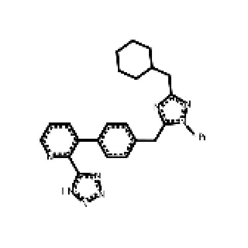 CCCn1nc(CC2CCCCC2)nc1Cc1ccc(-c2cccnc2-c2nnn[nH]2)cc1